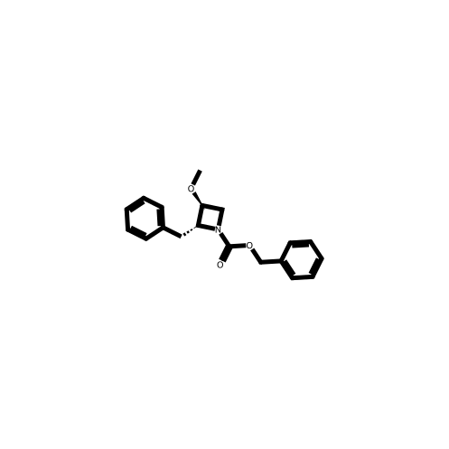 CO[C@H]1CN(C(=O)OCc2ccccc2)[C@@H]1Cc1ccccc1